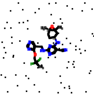 CC(F)(F)COc1ncncc1CNc1ncc(C#N)c(N[C@@H]2CC[C@@]3(C)OC3(C)C2)n1